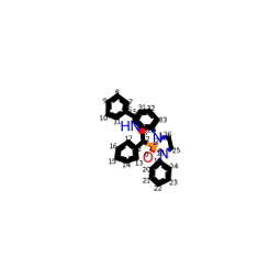 O=P1(C(CNCc2ccccc2)c2ccccc2)N(c2ccccc2)CCN1c1ccccc1